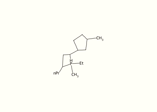 CCCC1CC(C2CCC(C)C2)[PH]1(C)CC